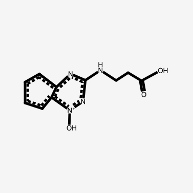 O=C(O)CCNc1nc2ccccc2[n+](O)n1